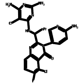 CCCC(Nc1nc(N)nc(N)c1Cl)c1nc2ccc(F)c(Cl)c2c(=O)n1-c1ccc(N)nc1